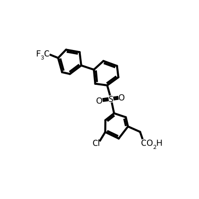 O=C(O)Cc1cc(Cl)cc(S(=O)(=O)c2cccc(-c3ccc(C(F)(F)F)cc3)c2)c1